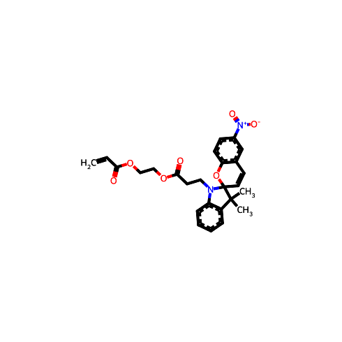 C=CC(=O)OCCOC(=O)CCN1c2ccccc2C(C)(C)C12C=Cc1cc([N+](=O)[O-])ccc1O2